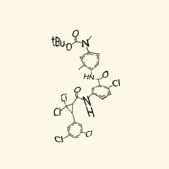 Cc1cc(N(C)C(=O)OC(C)(C)C)ccc1NC(=O)c1cc(NC(=O)C2C(c3cc(Cl)cc(Cl)c3)C2(Cl)Cl)ccc1Cl